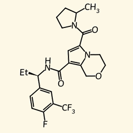 CC[C@@H](NC(=O)c1cc(C(=O)N2CCCC2C)n2c1COCC2)c1ccc(F)c(C(F)(F)F)c1